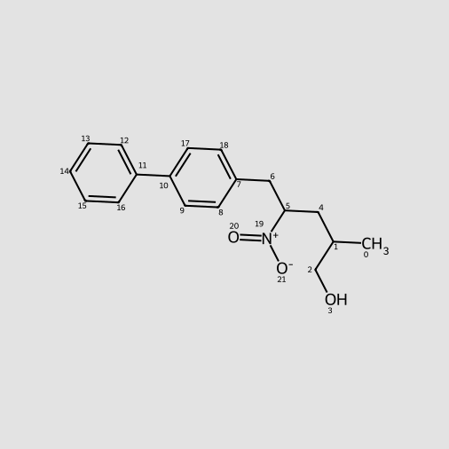 CC(CO)CC(Cc1ccc(-c2ccccc2)cc1)[N+](=O)[O-]